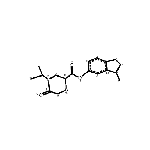 CC1CCc2ccc(OC(=O)C3CN(C(C)C)C(=O)CO3)cc21